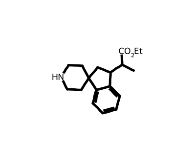 CCOC(=O)C(C)C1CC2(CCNCC2)c2ccccc21